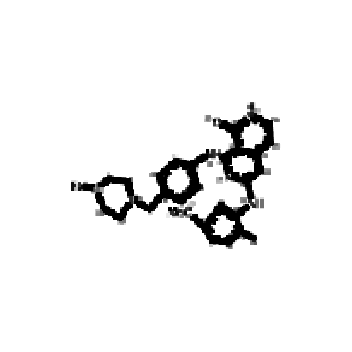 CCN1CCN(Cc2ccc(Nc3nc(Nc4cc(OC)ccc4C)cc4cc[nH]c(=O)c34)cc2)CC1